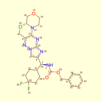 O=C(N[C@H](c1cn2nc(CCl)c(N3CCOCC3)nc2n1)C1CCC(F)(F)CC1)OCc1ccccc1